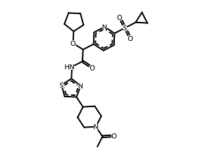 CC(=O)N1CCC(c2csc(NC(=O)C(OC3CCCC3)c3ccc(S(=O)(=O)C4CC4)nc3)n2)CC1